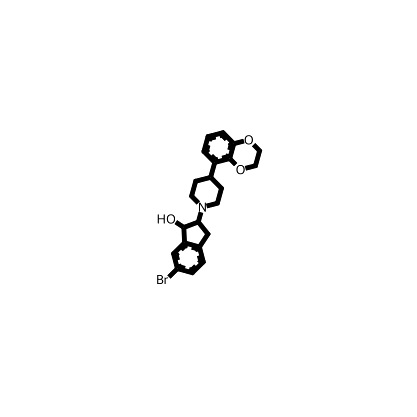 OC1c2cc(Br)ccc2CC1N1CCC(c2cccc3c2OCCO3)CC1